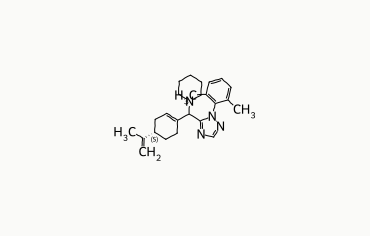 C=C(C)[C@@H]1CC=C(C(c2ncnn2-c2c(C)cccc2C)N2CCCCC2)CC1